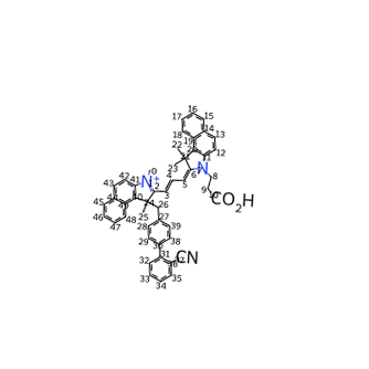 C[N+]1=C(/C=C/C=C2/N(CCC(=O)O)c3ccc4ccccc4c3C2(C)C)C(C)(Cc2ccc(-c3ccccc3C#N)cc2)c2c1ccc1ccccc21